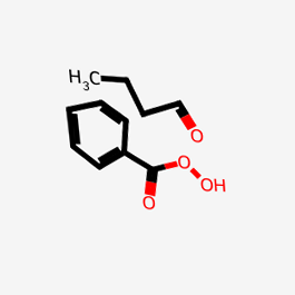 CCCC=O.O=C(OO)c1ccccc1